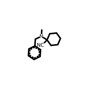 CN(Cc1ccccc1)C1(C#N)CCCCC1